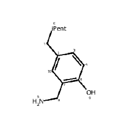 CCCC(C)Cc1ccc(O)c(CN)c1